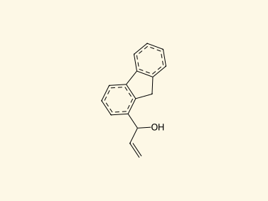 C=CC(O)c1cccc2c1Cc1ccccc1-2